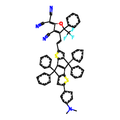 CN(C)c1ccc(-c2cc3c(s2)C2=C(c4sc(/C=C/C5=C(C#N)C(=C(C#N)C#N)OC5(c5ccccc5)C(F)(F)F)cc4C2(c2ccccc2)c2ccccc2)C3(c2ccccc2)c2ccccc2)cc1